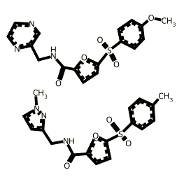 COc1ccc(S(=O)(=O)c2ccc(C(=O)NCc3cnccn3)o2)cc1.Cc1ccc(S(=O)(=O)c2ccc(C(=O)NCc3ccn(C)n3)o2)cc1